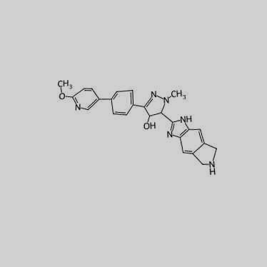 COc1ccc(-c2ccc(C3=NN(C)C(c4nc5cc6c(cc5[nH]4)CNC6)C3O)cc2)cn1